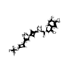 O=C1C[C@H](C(=O)NC23CC(n4cc(C5CC(OC(F)(F)F)C5)nn4)(C2)C3)Oc2cc(F)c(Cl)cc21